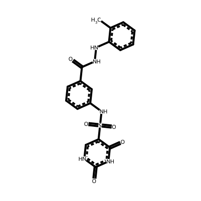 Cc1ccccc1NNC(=O)c1cccc(NS(=O)(=O)c2c[nH]c(=O)[nH]c2=O)c1